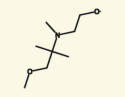 COCC(C)(C)N(C)CC[O]